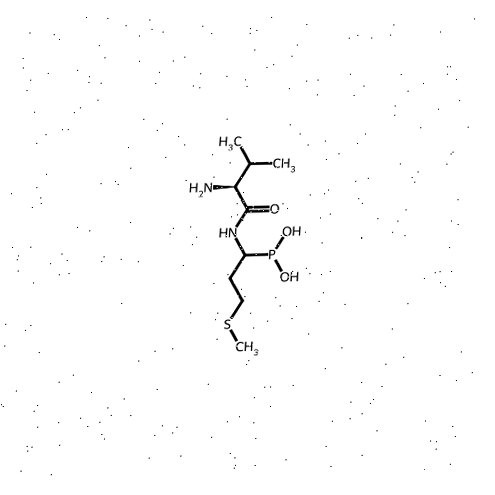 CSCCC(NC(=O)[C@@H](N)C(C)C)P(O)O